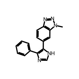 Cn1nnc2ccc(-c3[nH]cnc3-c3ccccc3)cc21